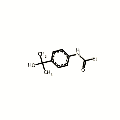 CCC(=O)Nc1ccc(C(C)(C)O)cc1